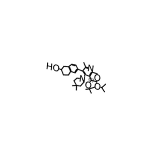 Cc1nc(C)c([C@H](OC(C)(C)C)C(=O)OC(C)C)c(N2CCC(C)(C)CC2)c1-c1ccc2c(c1)CCC(O)C2